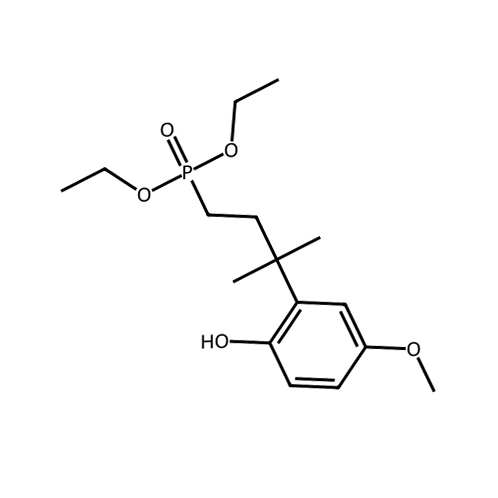 CCOP(=O)(CCC(C)(C)c1cc(OC)ccc1O)OCC